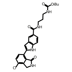 CC(C)COC(=O)NCCCNC(=O)c1ccc2[nH]c(-c3ccc(Cl)c4c3C(=O)NC4)cc2c1